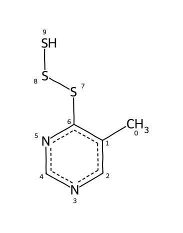 Cc1cncnc1SSS